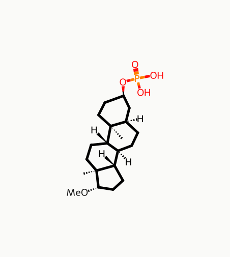 CO[C@H]1CC[C@H]2[C@@H]3CC[C@@H]4C[C@H](OP(=O)(O)O)CC[C@]4(C)[C@H]3CC[C@]12C